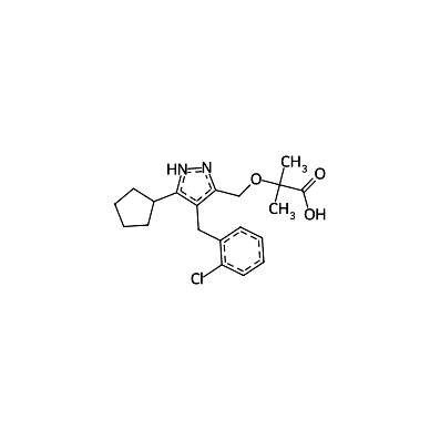 CC(C)(OCc1n[nH]c(C2CCCC2)c1Cc1ccccc1Cl)C(=O)O